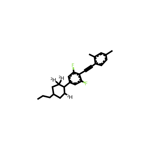 [2H]C1CC(CCC)CC([2H])([2H])C1c1cc(F)c(C#Cc2ccc(C)cc2C)c(F)c1